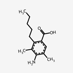 CCCCCc1c(C(=O)O)cc(C)c(N)c1C